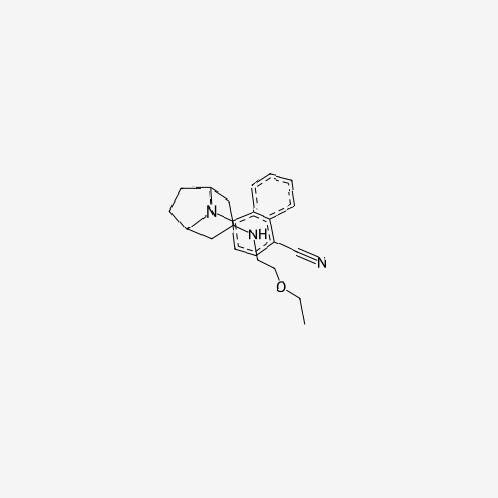 CCOCCNC1CC2CCC(C1)N2c1ccc(C#N)c2ccccc12